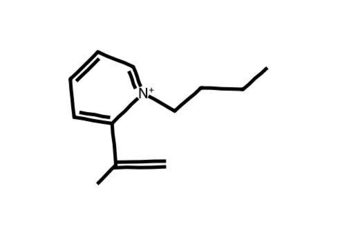 C=C(C)c1cccc[n+]1CCCC